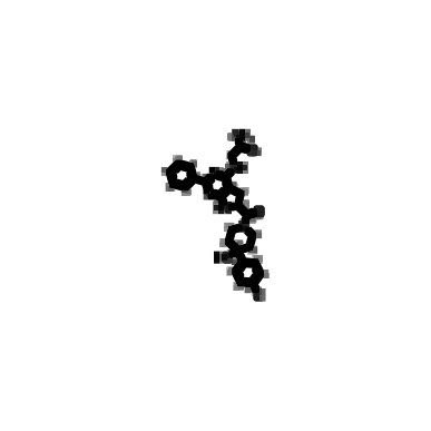 NC(=O)CNc1nc(-c2ccccc2)nc2c1CC(C(=O)N1CCC(O)(c3ccc(Cl)cc3)CC1)N2